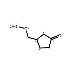 O=COCC1CCC(=O)C1